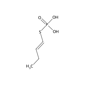 CC/C=C/SP(=O)(O)O